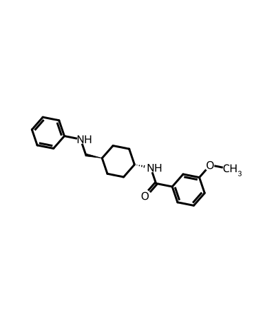 COc1cccc(C(=O)N[C@H]2CC[C@H](CNc3ccccc3)CC2)c1